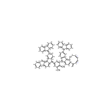 C=C1/C=C\C=C/COc2c1ccc1c2c2cc(-n3c4ccccc4c4ccccc43)ccc2n1-c1cc(-n2c3ccc(-n4c5ccccc5c5ccccc54)cc3c3c4oc5ccccc5c4ccc32)cc(C#N)c1C#N